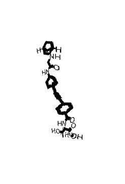 C[C@@H](O)[C@H](NC(=O)c1ccc(C#Cc2ccc(NC(=O)CNC3C[C@H]4CC[C@H]3C4)cc2)cc1)C(=O)NO